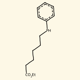 CCOC(=O)CCCCCPc1ccccc1